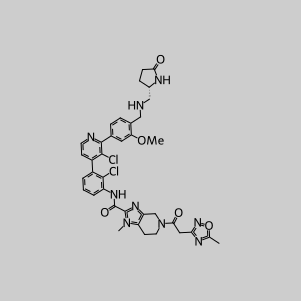 COc1cc(-c2nccc(-c3cccc(NC(=O)c4nc5c(n4C)CCN(C(=O)Cc4noc(C)n4)C5)c3Cl)c2Cl)ccc1CNC[C@@H]1CCC(=O)N1